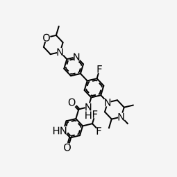 CC1CN(c2ccc(-c3cc(NC(=O)c4c[nH]c(=O)cc4C(F)F)c(N4CC(C)N(C)C(C)C4)cc3F)cn2)CCO1